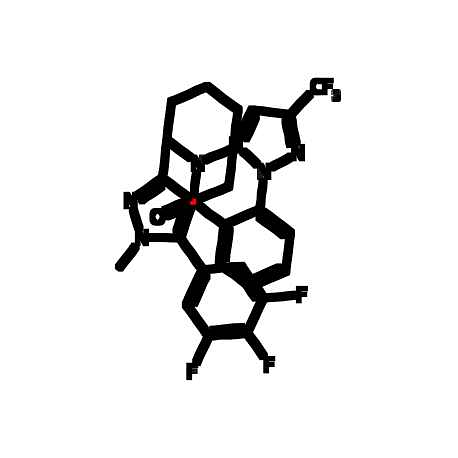 Cn1nc2c(c1-c1cc(F)c(F)c(F)c1)CC1CCCC2N1C(=O)c1ccccc1-n1ncc(C(F)(F)F)n1